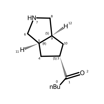 CCCCC(=O)[C@@H]1C[C@H]2CNC[C@H]2C1